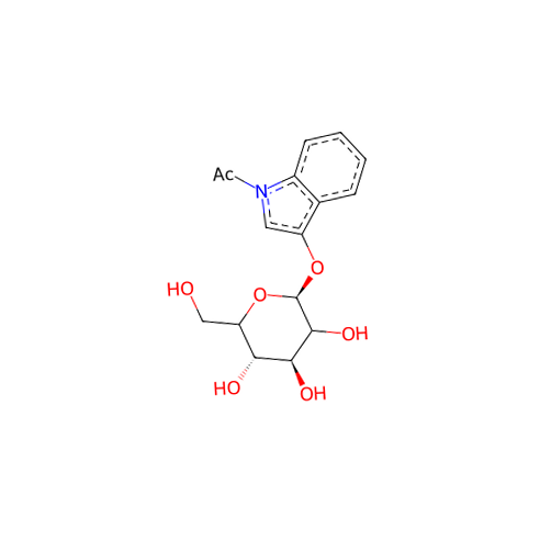 CC(=O)n1cc(O[C@@H]2OC(CO)[C@@H](O)[C@H](O)C2O)c2ccccc21